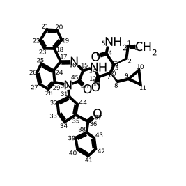 C=CC[C@H](C(N)=O)[C@@H](CC1CC1)C(=O)NC1N=C(c2ccccc2)c2ccccc2N(c2cccc(C(=O)c3ccccc3)c2)C1=O